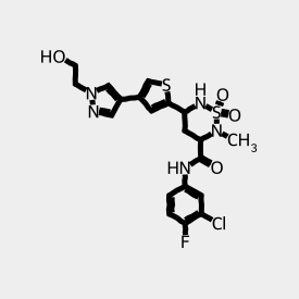 CN1C(C(=O)Nc2ccc(F)c(Cl)c2)CC(c2cc(-c3cnn(CCO)c3)cs2)NS1(=O)=O